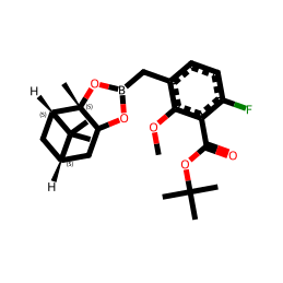 COc1c(CB2OC3C[C@@H]4C[C@@H](C4(C)C)[C@]3(C)O2)ccc(F)c1C(=O)OC(C)(C)C